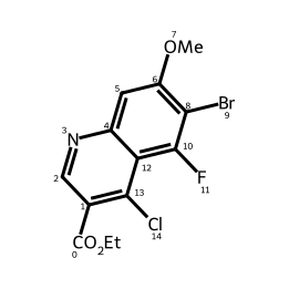 CCOC(=O)c1cnc2cc(OC)c(Br)c(F)c2c1Cl